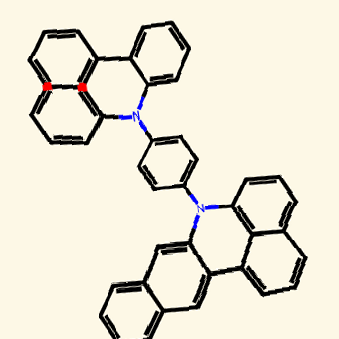 c1ccc(-c2ccccc2N(c2ccccc2)c2ccc(N3c4cc5ccccc5cc4-c4cccc5cccc3c45)cc2)cc1